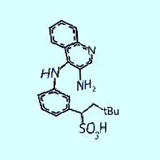 CC(C)(C)CC(c1cccc(Nc2c(N)cnc3ccccc23)c1)S(=O)(=O)O